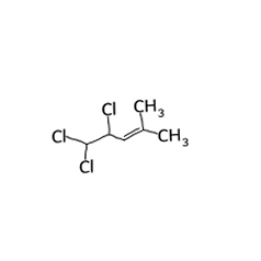 CC(C)=CC(Cl)C(Cl)Cl